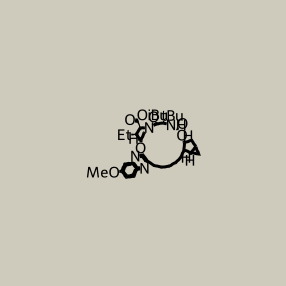 CC[C@@H]1[C@@H]2CN(C(=O)[C@H](C(C)(C)C)NC(=O)O[C@@H]3CC4C[C@@H]4[C@H]3CCCCCc3nc4ccc(OC)cc4nc3O2)[C@@H]1C(=O)OCC(C)C